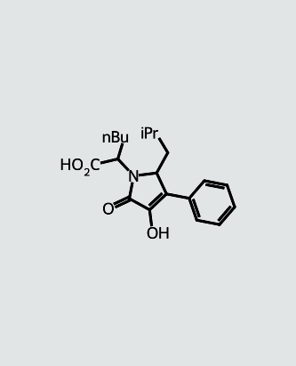 CCCCC(C(=O)O)N1C(=O)C(O)=C(c2ccccc2)C1CC(C)C